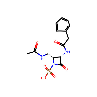 CC(=O)NC[C@@H]1[C@H](NC(=O)Cc2ccccc2)C(=O)N1S(=O)(=O)O